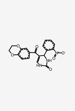 O=C1NC=C(C(=O)c2ccc3c(c2)OCCO3)C(c2ccccc2[N+](=O)[O-])N1